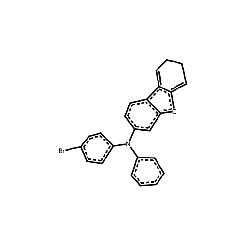 Brc1ccc(N(c2ccccc2)c2ccc3c4c(oc3c2)=CCCC=4)cc1